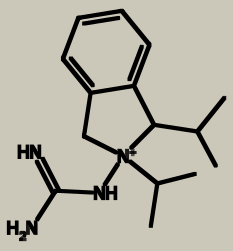 CC(C)C1c2ccccc2C[N+]1(NC(=N)N)C(C)C